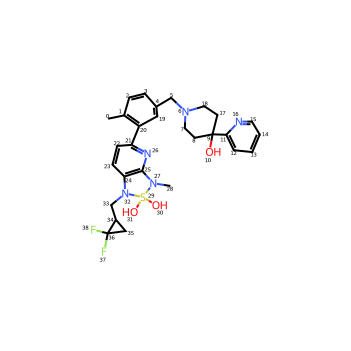 Cc1ccc(CN2CCC(O)(c3ccccn3)CC2)cc1-c1ccc2c(n1)N(C)S(O)(O)N2CC1CC1(F)F